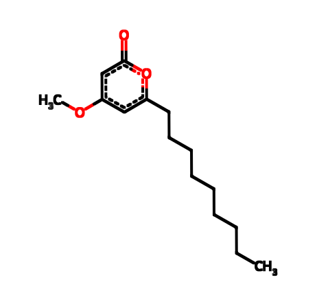 CCCCCCCCCc1cc(OC)cc(=O)o1